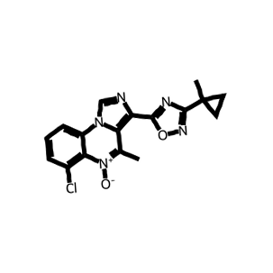 Cc1c2c(-c3nc(C4(C)CC4)no3)ncn2c2cccc(Cl)c2[n+]1[O-]